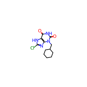 O=c1[nH]c(=O)n(CC2CCCCC2)c2nc(Cl)[nH]c12